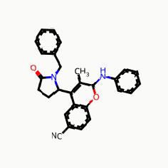 CC1=C(C2CCC(=O)N2Cc2ccccc2)c2cc(C#N)ccc2OC1Nc1ccccc1